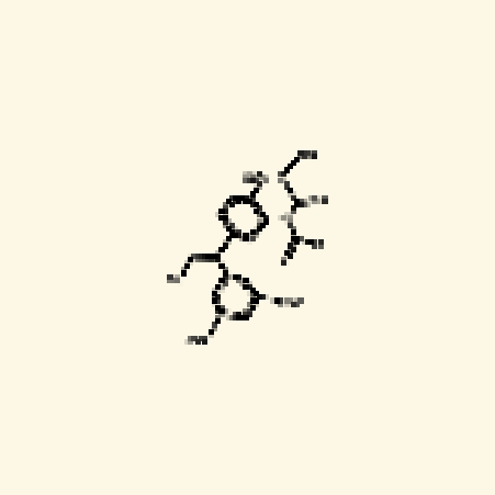 CCC(=O)N(C(=O)OC(C)(C)C)c1cc(C(=CC#N)c2cc(OC)cc(OC)c2)ccc1OC